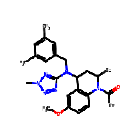 CCC1CC(N(Cc2cc(C(F)(F)F)cc(C(F)(F)F)c2)c2nnn(C)n2)c2cc(OC(F)(F)F)ccc2N1C(=O)C(C)C